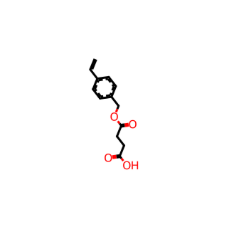 C=Cc1ccc(COC(=O)CCC(=O)O)cc1